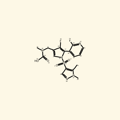 Cc1c(S(=O)(=O)n2cc(CN(C)C(=O)O)c(F)c2-c2cccnc2F)cnn1C